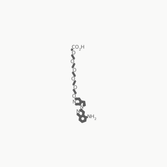 Nc1cccc2cnc(-n3ccc4cc(OCCOCCOCCOCCOCCOCC(=O)O)ncc43)cc12